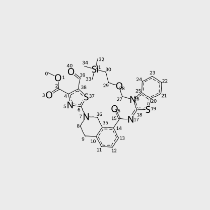 COC(=O)c1nc(N2CCc3cccc(C(=O)N=c4sc5ccccc5n4COCC[Si](C)(C)C)c3C2)sc1C=O